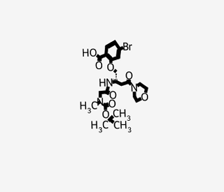 CN(CC(=O)N[C@H](COc1cc(Br)ccc1C(=O)O)CC(=O)N1CCOCC1)C(=O)OC(C)(C)C